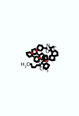 C=C/C=C\C=C(/C)[Si](c1ccccc1)(c1ccc(-c2ccccc2)cc1)c1ccccc1N(c1ccc(-c2ccccc2)cc1)c1ccc2ccc3ccc4nc(-c5ccccc5)oc4c3c2c1